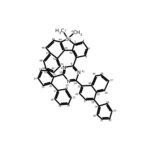 C[Si]1(C)c2cccc(-c3nc(-c4ccccc4-c4ccccc4)nc(-c4ccc(-c5ccccc5)c5ccccc45)n3)c2-c2c1ccc1ccccc21